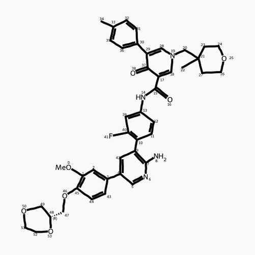 COc1cc(-c2cnc(N)c(-c3ccc(NC(=O)c4cn(CC5(C)CCOCC5)cc(-c5ccc(C)cc5)c4=O)cc3F)c2)ccc1OC[C@H]1COCCO1